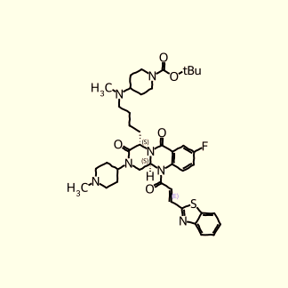 CN1CCC(N2C[C@@H]3N(C(=O)/C=C/c4nc5ccccc5s4)c4ccc(F)cc4C(=O)N3[C@@H](CCCCN(C)C3CCN(C(=O)OC(C)(C)C)CC3)C2=O)CC1